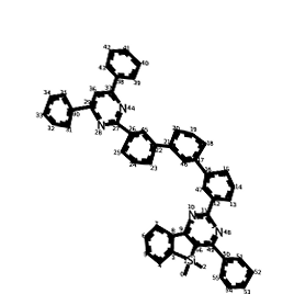 C[Si]1(C)c2ccccc2-c2nc(-c3cccc(-c4cccc(-c5cccc(-c6nc(-c7ccccc7)cc(-c7ccccc7)n6)c5)c4)c3)nc(-c3ccccc3)c21